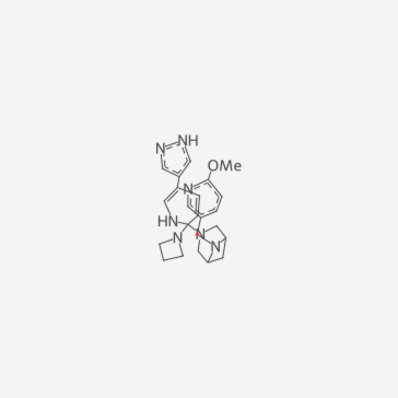 COc1ccc(CN2C3CC2CN(C2(N4CCC4)C=CC(c4cn[nH]c4)=CN2)C3)cn1